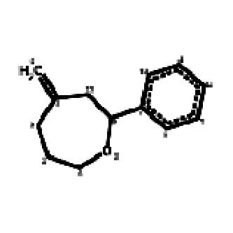 C=C1CCCOC(c2ccccc2)C1